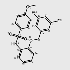 COc1ccc(S(=O)(=O)Nc2ncccc2OCc2cc(F)cc(F)c2)cc1